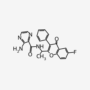 CC(NC(=O)c1nccnc1N)c1oc2ccc(F)cc2c(=O)c1-c1ccccc1